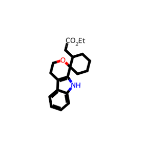 CCOC(=O)CC1CCCCC12OCCc1c2[nH]c2ccccc12